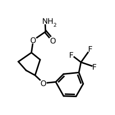 NC(=O)OC1CCC(Oc2cccc(C(F)(F)F)c2)C1